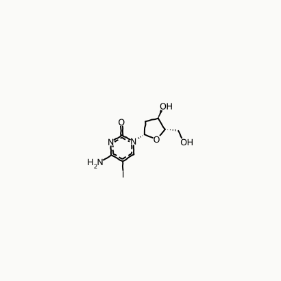 Nc1nc(=O)n([C@@H]2C[C@@H](O)[C@H](CO)O2)cc1I